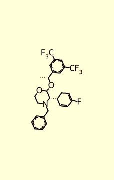 C[C@@H](O[C@@H]1OCCN(Cc2ccccc2)[C@H]1C1C=CC(F)=CC1)c1cc(C(F)(F)F)cc(C(F)(F)F)c1